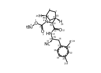 CC(C)(C)OC(=O)N1[C@@H]2CC[C@@H](C2)[C@H]1C(=O)N[C@H](C#N)Cc1ccc(I)cc1F